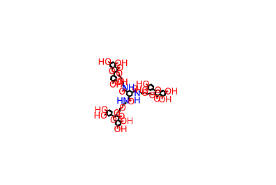 O=C(NCCOCCOc1c(-c2ccc(O)c(O)c2)oc2cc(O)cc(O)c2c1=O)C1CC(C(=O)NCCOCCOc2c(-c3ccc(O)c(O)c3)oc3cc(O)cc(O)c3c2=O)CC(C(=O)NCCOCCOc2c(-c3ccc(O)c(O)c3)oc3cc(O)cc(O)c3c2=O)C1